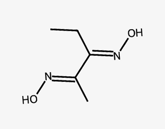 CCC(=N\O)/C(C)=N/O